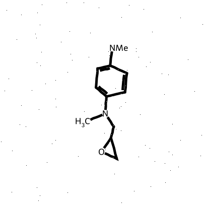 CNc1ccc(N(C)CC2CO2)cc1